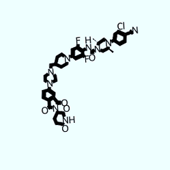 C[C@@H]1CN(c2ccc(C#N)c(Cl)c2)[C@@H](C)CN1C(=O)Nc1c(F)cc(N2CCC(CN3CCN(c4ccc5c(c4)C(=O)N([C@@H]4CCC(=O)NC4=O)C5=O)CC3)CC2)cc1F